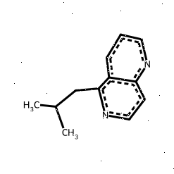 CC(C)Cc1nccc2ncccc12